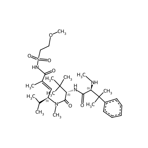 CN[C@H](C(=O)N[C@H](C(=O)N(C)[C@H](C=C(C)C(=O)NS(=O)(=O)CCOC)C(C)C)C(C)(C)C)C(C)(C)c1ccccc1